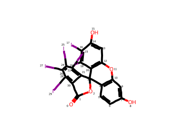 O=C1OC2(c3ccc(O)cc3Oc3cc(O)c(I)c(I)c32)c2c(I)c(I)c(I)c(I)c21